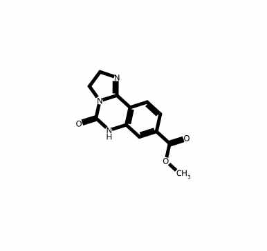 COC(=O)c1ccc2c(c1)NC(=O)N1CCN=C21